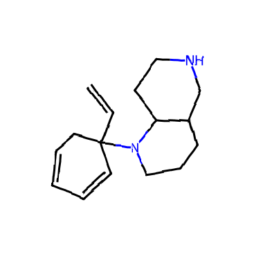 C=CC1(N2CCCC3CNCCC32)C=CC=CC1